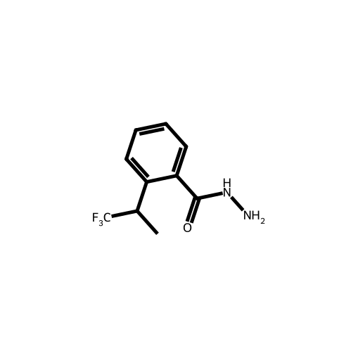 CC(c1ccccc1C(=O)NN)C(F)(F)F